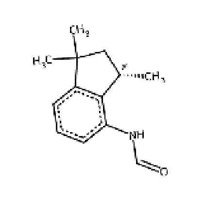 C[C@H]1CC(C)(C)c2cccc(NC=O)c21